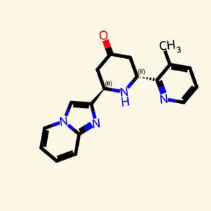 Cc1cccnc1[C@H]1CC(=O)C[C@H](c2cn3ccccc3n2)N1